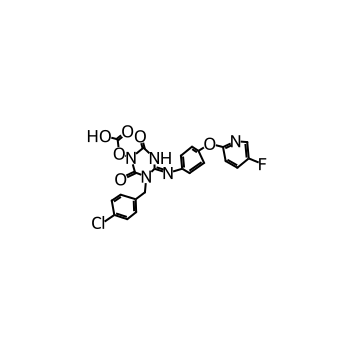 O=C(O)On1c(=O)[nH]/c(=N\c2ccc(Oc3ccc(F)cn3)cc2)n(Cc2ccc(Cl)cc2)c1=O